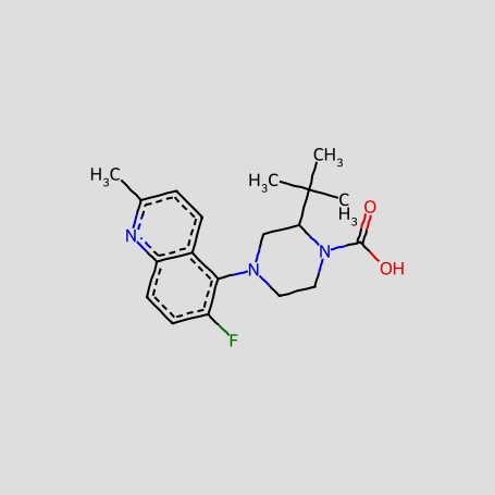 Cc1ccc2c(N3CCN(C(=O)O)C(C(C)(C)C)C3)c(F)ccc2n1